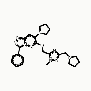 Cn1nc(CN2CCCC2)nc1COc1nn2c(-c3ccccc3)nnc2cc1N1CCCC1